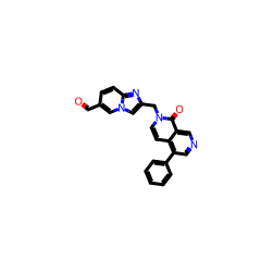 O=Cc1ccc2nc(Cn3ccc4c(-c5ccccc5)cncc4c3=O)cn2c1